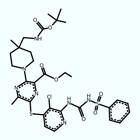 CCOC(=O)c1nc(Sc2ccnc(NC(=O)NS(=O)(=O)c3ccccc3)c2Cl)c(C)nc1N1CCC(C)(CNC(=O)OC(C)(C)C)CC1